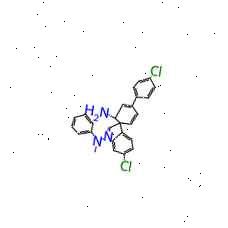 CN(N=CC1(c2ccc(Cl)cc2)C=CC(c2ccc(Cl)cc2)=CC1N)c1ccccc1